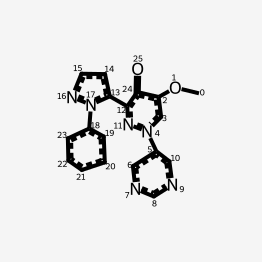 COc1cn(-c2cncnc2)nc(-c2ccnn2-c2ccccc2)c1=O